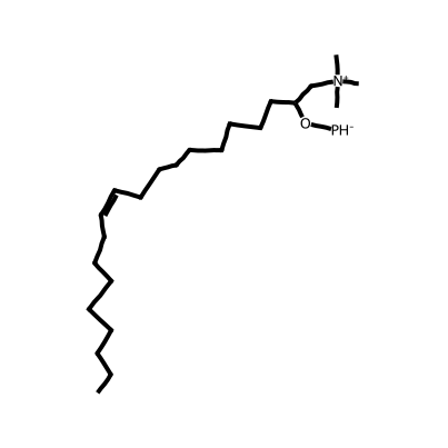 CCCCCCCC/C=C\CCCCCCCCC(C[N+](C)(C)C)O[PH-]